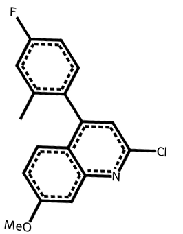 COc1ccc2c(-c3ccc(F)cc3C)cc(Cl)nc2c1